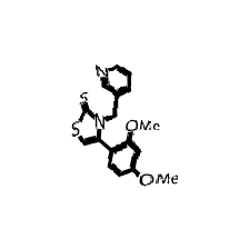 COc1ccc(-c2csc(=S)n2Cc2cccnc2)c(OC)c1